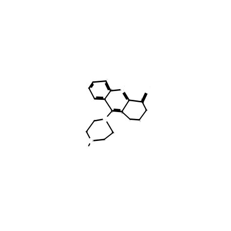 CN1CCN(c2c3c(nc4ccccc24)C(=O)CCC3)CC1